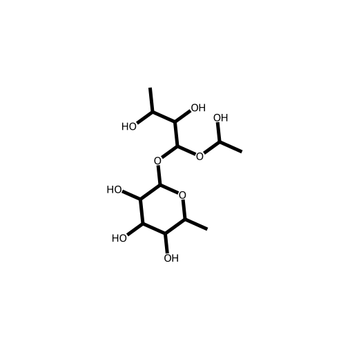 CC(O)OC(OC1OC(C)C(O)C(O)C1O)C(O)C(C)O